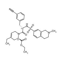 CCOC(=O)[C@H]1CC(CC)=CCN1C(=O)[C@H](Cc1cccc(C#N)c1)NS(=O)(=O)c1ccc2c(c1)CN(C)CC2